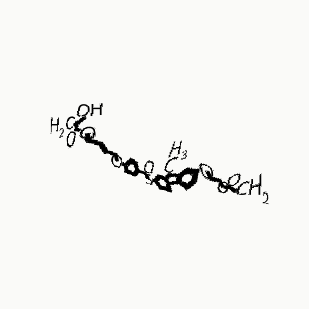 C=CC(=O)OCCOc1ccc2c(c1)C(C)c1cc(SC(=O)c3ccc(OCCCCOC(=O)C(=C)CO)cc3)ccc1-2